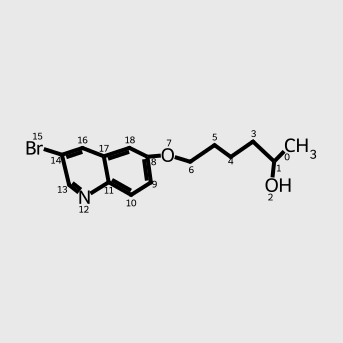 CC(O)CCCCOc1ccc2ncc(Br)cc2c1